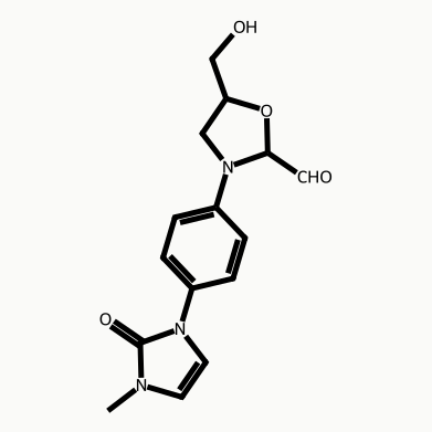 Cn1ccn(-c2ccc(N3CC(CO)OC3C=O)cc2)c1=O